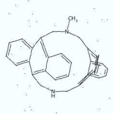 CN1Cc2c3ccccc3c(c3ccccc23)CNCc2c3ccccc3c(c3ccccc23)C1